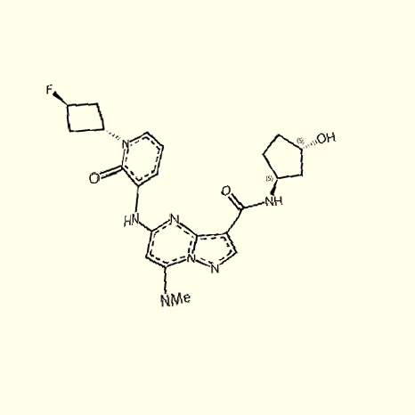 CNc1cc(Nc2cccn([C@H]3C[C@H](F)C3)c2=O)nc2c(C(=O)N[C@H]3CC[C@H](O)C3)cnn12